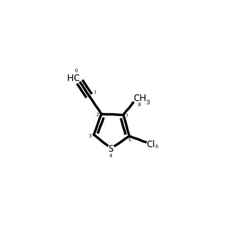 C#Cc1csc(Cl)c1C